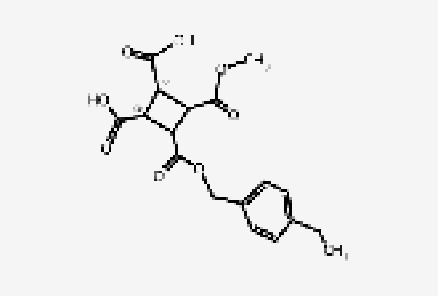 CCc1ccc(COC(=O)C2C(C(=O)OC)[C@H](C(=O)O)[C@@H]2C(=O)O)cc1